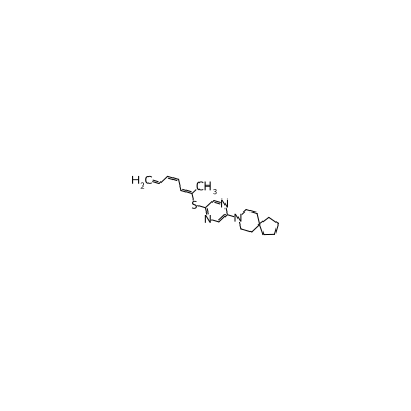 C=C/C=C\C=C(/C)Sc1cnc(N2CCC3(CCCC3)CC2)cn1